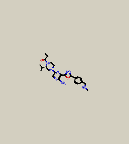 CCC(=O)N1CCN(c2cnc(N)c(-c3nnc(-c4ccc(CNC)cc4)o3)n2)C[C@H]1C(C)C